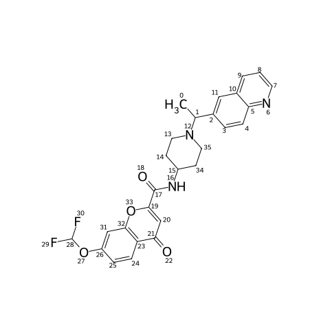 CC(c1ccc2ncccc2c1)N1CCC(NC(=O)c2cc(=O)c3ccc(OC(F)F)cc3o2)CC1